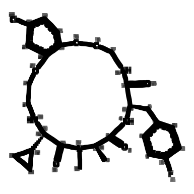 C[C@@H]1C(=O)N[C@H](Cc2ccc(F)cc2)C(=O)NCCCc2ccc(Cl)cc2OCCN[C@@H](C2CC2)C(=O)N1C